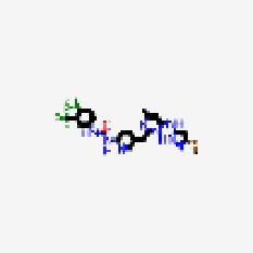 CSc1cc(Nc2cc(C)nc(Cc3ccc(NC(=O)Nc4ccc(Cl)c(C(F)(F)F)c4)nc3)n2)[nH]n1